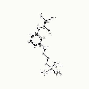 C[Si](C)(C)CCCOc1cccc(OC(F)=C(F)F)c1